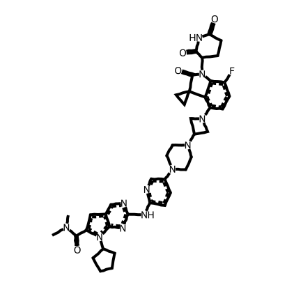 CN(C)C(=O)c1cc2cnc(Nc3ccc(N4CCN(C5CN(c6ccc(F)c7c6C6(CC6)C(=O)N7C6CCC(=O)NC6=O)C5)CC4)cn3)nc2n1C1CCCC1